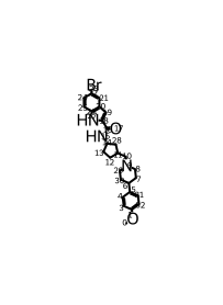 COc1ccc(C2CCN(CC3CCC(NC(=O)c4cc5cc(Br)ccc5[nH]4)C3)CC2)cc1